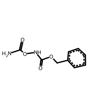 NC(=O)ONC(=O)OCc1ccccc1